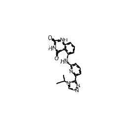 CC(C)n1cnnc1-c1cccc(Nc2cccc3[nH]c(=O)[nH]c(=O)c23)n1